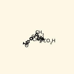 Cc1cc(COc2ccc(C3CCN(C(=O)C4CC4)CC3)cc2C)c(-c2cccc(-n3ncc(C(=O)O)c3F)n2)s1